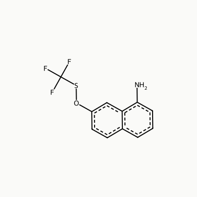 Nc1cccc2ccc(OSC(F)(F)F)cc12